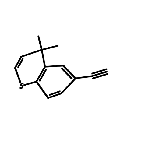 C#Cc1ccc2c(c1)C(C)(C)C=CS2